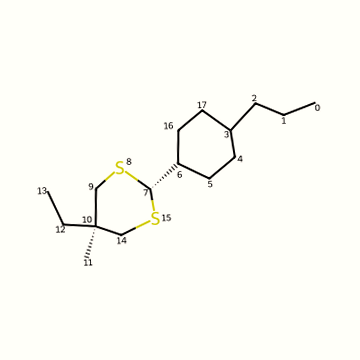 CCCC1CCC([C@H]2SC[C@](C)(CC)CS2)CC1